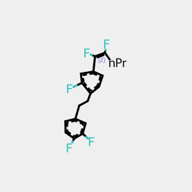 CCC/C(F)=C(/F)c1ccc(CCc2ccc(F)c(F)c2)c(F)c1